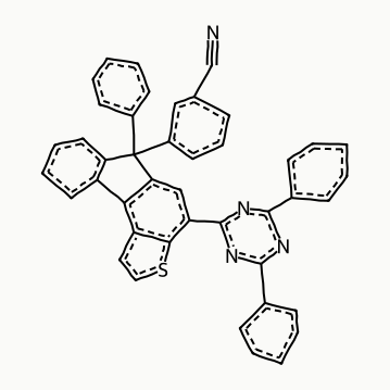 N#Cc1cccc(C2(c3ccccc3)c3ccccc3-c3c2cc(-c2nc(-c4ccccc4)nc(-c4ccccc4)n2)c2sccc32)c1